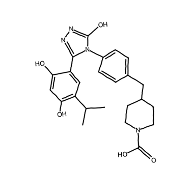 CC(C)c1cc(-c2nnc(O)n2-c2ccc(CC3CCN(C(=O)O)CC3)cc2)c(O)cc1O